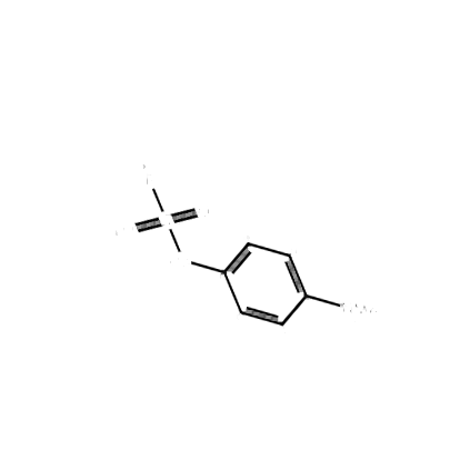 CNc1ccc(OS(=O)(=O)F)cc1